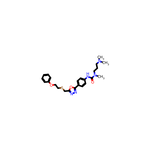 CN(C)CCCN(C)C(=O)Nc1ccc(-c2nnc(CSCCOc3ccccc3)o2)cc1